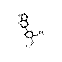 COc1ccc(-c2cnc3[nH]ccc3c2)cc1OC